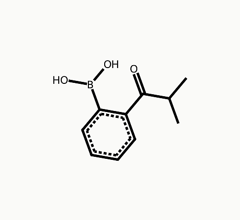 CC(C)C(=O)c1ccccc1B(O)O